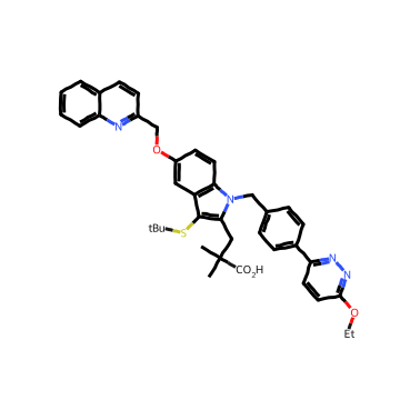 CCOc1ccc(-c2ccc(Cn3c(CC(C)(C)C(=O)O)c(SC(C)(C)C)c4cc(OCc5ccc6ccccc6n5)ccc43)cc2)nn1